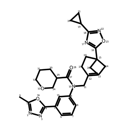 Cc1nnc(-c2cccc(N(CC3=C4CC(c5nc(C6CC6)no5)(CC3)C4)C(=O)C3CCCOC3)c2)o1